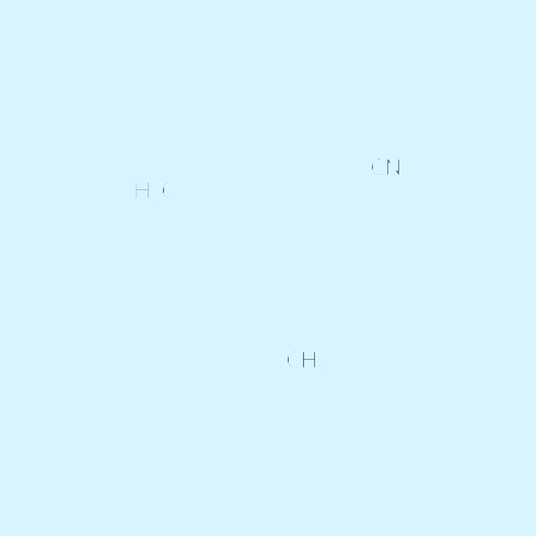 CC1=CC(C)CC(C#N)C1